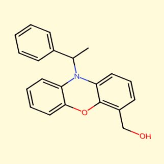 CC(c1ccccc1)N1c2ccccc2Oc2c(CO)cccc21